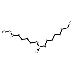 CCO[SiH2]CCCCO[PH](=O)OCCCC[SiH2]OCC